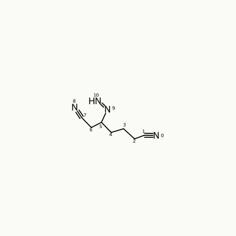 N#CCCCC(CC#N)N=N